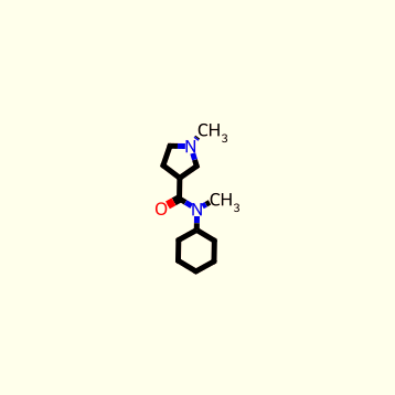 CN1CCC(C(=O)N(C)C2CCCCC2)C1